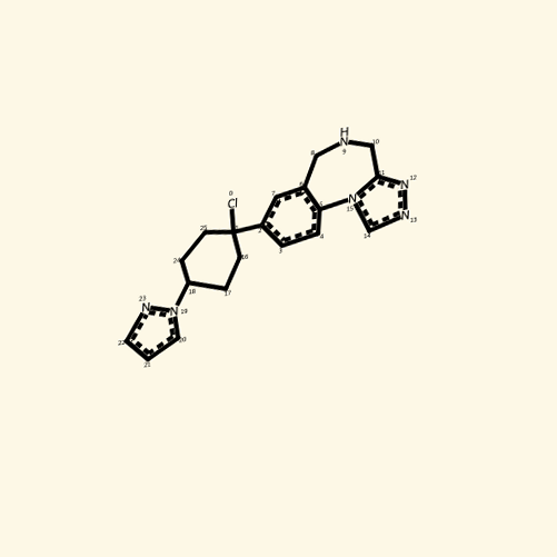 ClC1(c2ccc3c(c2)CNCc2nncn2-3)CCC(n2cccn2)CC1